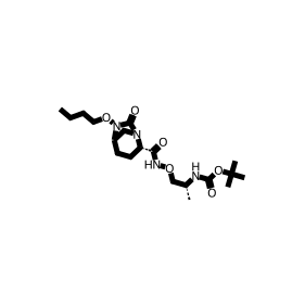 CCCCON1C(=O)N2CC1CC[C@H]2C(=O)NOC[C@@H](C)NC(=O)OC(C)(C)C